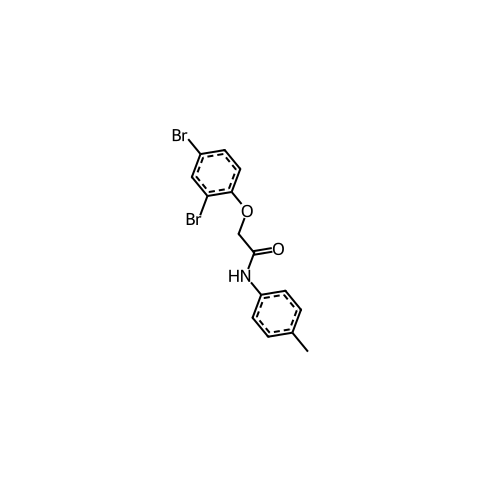 Cc1ccc(NC(=O)COc2ccc(Br)cc2Br)cc1